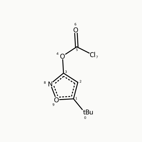 CC(C)(C)c1cc(OC(=O)Cl)no1